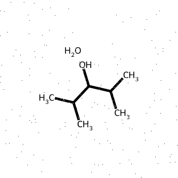 CC(C)C(O)C(C)C.O